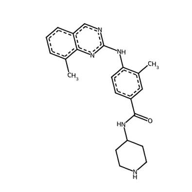 Cc1cc(C(=O)NC2CCNCC2)ccc1Nc1ncc2cccc(C)c2n1